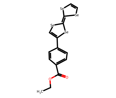 CCOC(=O)c1ccc(C2=C[Se]C(=C3[Se]C=C[Se]3)[Se]2)cc1